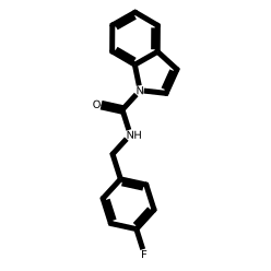 O=C(NCc1ccc(F)cc1)n1ccc2ccccc21